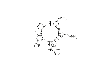 CN1C(=O)[C@@H](CCCCN)NC(=O)C(CCCN)NCc2ccccc2Sc2c(Cl)cc(C(F)(F)F)cc2CNC(=O)[C@@H]1Cc1c[nH]c2ccccc12